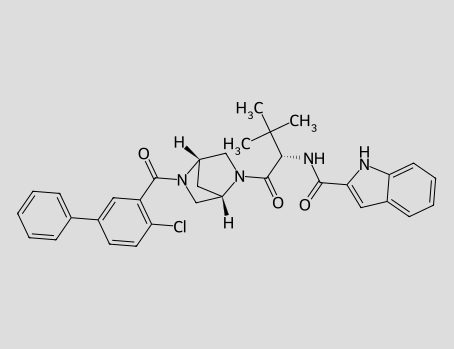 CC(C)(C)[C@H](NC(=O)c1cc2ccccc2[nH]1)C(=O)N1C[C@@H]2C[C@H]1CN2C(=O)c1cc(-c2ccccc2)ccc1Cl